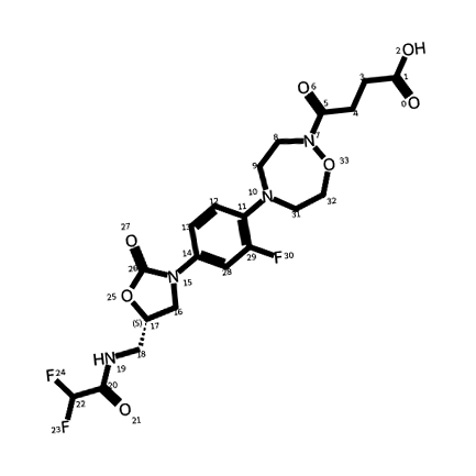 O=C(O)CCC(=O)N1CCN(c2ccc(N3C[C@H](CNC(=O)C(F)F)OC3=O)cc2F)CCO1